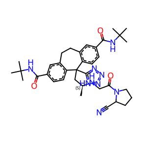 C[C@@H](CC1(c2nnn[nH]2)c2ccc(C(=O)NC(C)(C)C)cc2CCc2cc(C(=O)NC(C)(C)C)ccc21)NCC(=O)N1CCCC1C#N